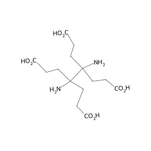 NC(CCC(=O)O)(CCC(=O)O)C(N)(CCC(=O)O)CCC(=O)O